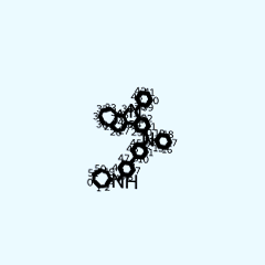 C1=CC=C(Nc2ccc(-c3ccc(N(c4ccccc4)c4ccc5c(c4)C4=CC=C6C=CC=CC(=C4CN5c4ccccc4)C6)cc3)cc2)CC=C1